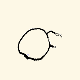 CCC1CCCCCCCC/C=C/CCCCC(=O)O1